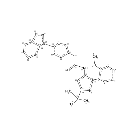 COc1ccccc1-n1nc(C(C)(C)C)cc1NC(=O)Cc1ccc(-n2cnc3cccnc32)cc1